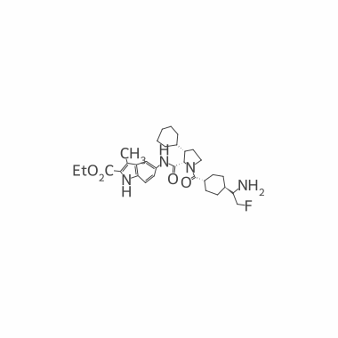 CCOC(=O)c1[nH]c2ccc(NC(=O)[C@@H]3[C@H](C4CCCCC4)CCN3C(=O)[C@H]3CC[C@H](C(N)CF)CC3)cc2c1C